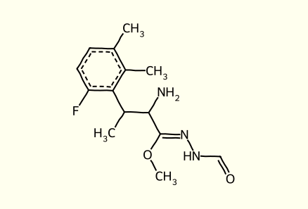 CO/C(=N\NC=O)C(N)C(C)c1c(F)ccc(C)c1C